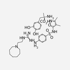 C[C@](N)(Cc1ccc(O)c(O)c1)C(=O)O.Cc1noc(NS(=O)(=O)c2ccc(N)cc2)c1C.N=C(N)NCCN1CCCCCCC1